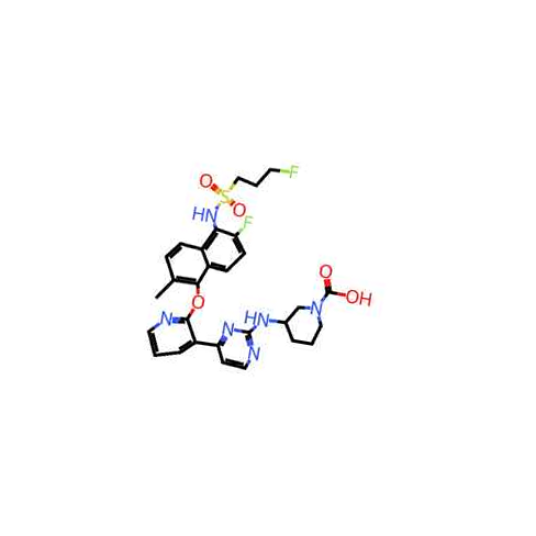 Cc1ccc2c(NS(=O)(=O)CCCF)c(F)ccc2c1Oc1ncccc1-c1ccnc(NC2CCCN(C(=O)O)C2)n1